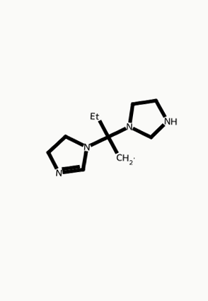 [CH2]C(CC)(N1C=NCC1)N1CCNC1